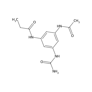 CCC(=O)Nc1cc(NC(C)=O)cc(NC(N)=O)c1